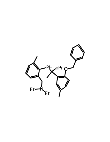 CCCC(C)(Pc1c(C)cccc1CN(CC)CC)c1cc(C)ccc1OCc1ccccc1